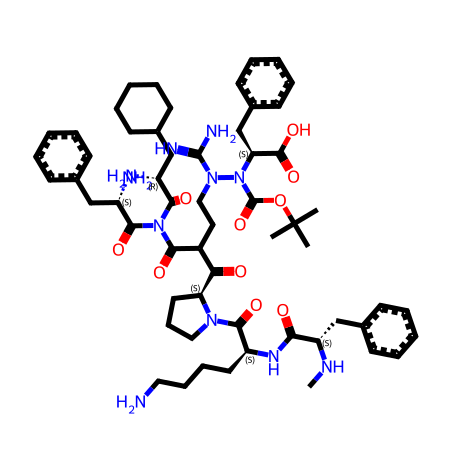 CN[C@@H](Cc1ccccc1)C(=O)N[C@@H](CCCCN)C(=O)N1CCC[C@H]1C(=O)C(CCN(C(=N)N)N(C(=O)OC(C)(C)C)[C@@H](Cc1ccccc1)C(=O)O)C(=O)N(C(=O)[C@H](N)CC1CCCCC1)C(=O)[C@@H](N)Cc1ccccc1